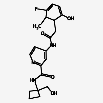 CC1C(F)=CC=C(O)C1CC(=O)Nc1ccnc(C(=O)NC2(CO)CCC2)c1